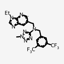 CCn1cnc2cc(CN(Cc3cc(C(F)(F)F)cc(C(F)(F)F)c3)c3nnn(C)n3)[c]nc21